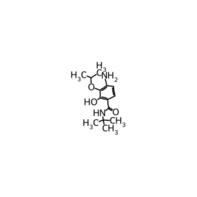 CC(C)Oc1c(N)ccc(C(=O)NC(C)(C)C)c1O